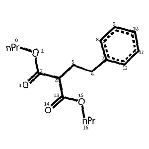 CCCOC(=O)C(CCc1ccccc1)C(=O)OCCC